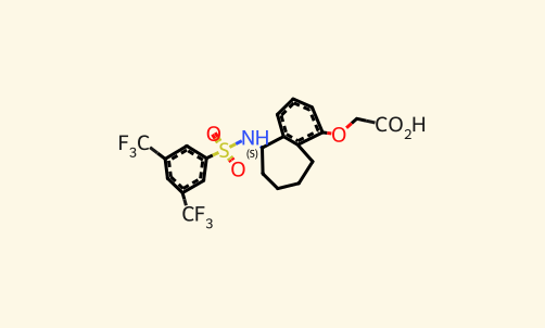 O=C(O)COc1cccc2c1CCCC[C@@H]2NS(=O)(=O)c1cc(C(F)(F)F)cc(C(F)(F)F)c1